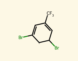 FC(F)(F)C1=CC(Br)[CH]C(Br)=C1